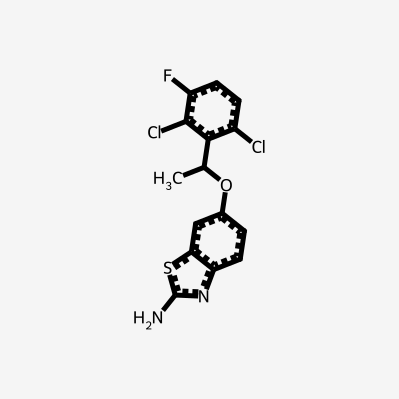 CC(Oc1ccc2nc(N)sc2c1)c1c(Cl)ccc(F)c1Cl